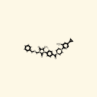 Cc1cc(C2CC2)cnc1N1CCN(C(=O)c2ccc(N3C(=O)N(COCc4ccccc4)C(=O)C3C)cc2)CC1